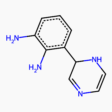 Nc1cccc(C2C=NC=CN2)c1N